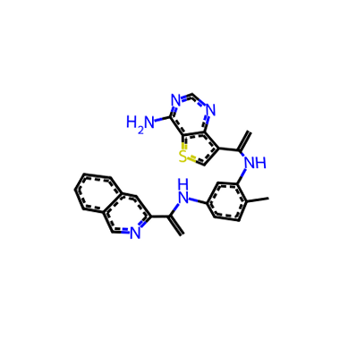 C=C(Nc1ccc(C)c(NC(=C)c2csc3c(N)ncnc23)c1)c1cc2ccccc2cn1